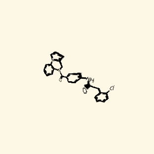 O=C(Cc1ccccc1Cl)Nc1ccc(C(=O)N2Cc3cccn3-c3ccccc32)cc1